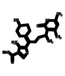 COC(=O)c1csc(C(CCC(N)c2c(C)cc(C)[nH]c2=O)=C2CCC(O)CC2)c1C